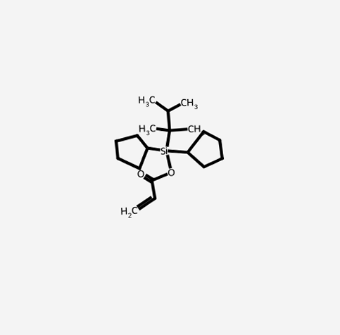 C=CC(=O)O[Si](C1CCCC1)(C1CCCC1)C(C)(C)C(C)C